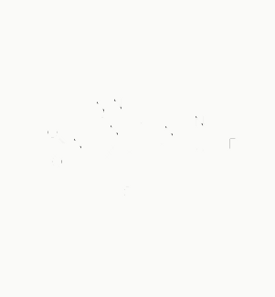 COC(=O)N1Cc2cc(Cl)ccc2-n2c(C3CCN(c4ccc(F)cn4)CC3)nnc2C1C